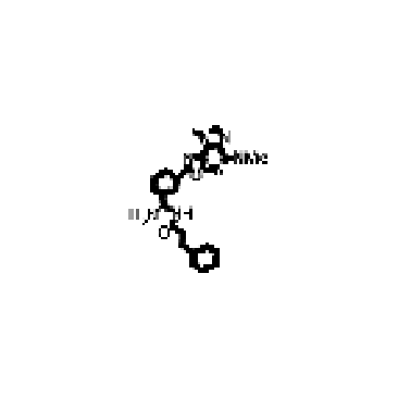 CNc1nc2oc(-c3cccc([C@H](N)NC(=O)CCc4ccccc4)c3)nc2c2c1ncn2C